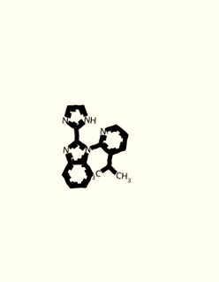 CC(C)c1cccnc1-n1c(-c2ncc[nH]2)nc2ccccc21